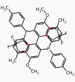 COc1cc(P(c2ccc(C)cc2)c2ccc(C)cc2)c(-c2c(P(c3ccc(C)cc3)c3ccc(C)cc3)cc(OC)c3c2OC(F)(F)O3)c2c1OC(F)(F)O2